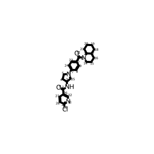 O=C(NC1CCN(c2ccc(C(=O)N3CCCC4CCCCC43)cc2)C1)c1ccc(Cl)nc1